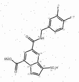 COC(=O)c1cc(C(=O)NCc2ccc(F)c(F)c2)nc2c(S(=O)(=O)O)cnn12